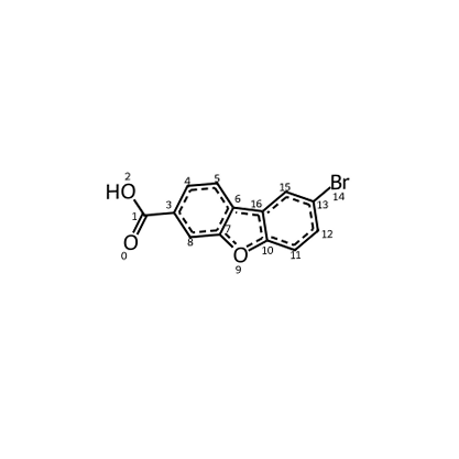 O=C(O)c1ccc2c(c1)oc1ccc(Br)cc12